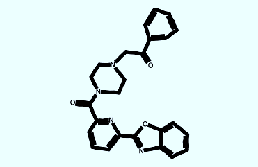 O=C(CN1CCN(C(=O)c2cccc(-c3nc4ccccc4o3)n2)CC1)c1ccccc1